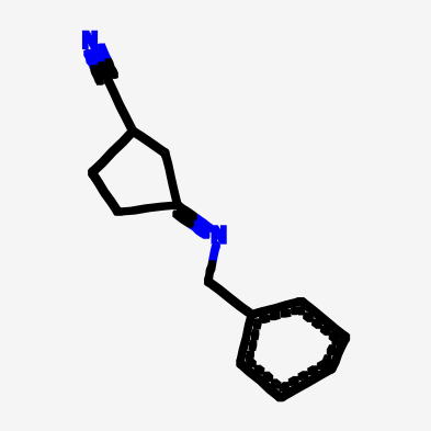 N#CC1CCC(=NCc2ccccc2)C1